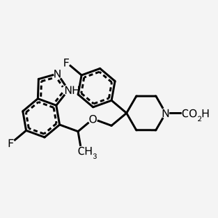 CC(OCC1(c2ccc(F)cc2)CCN(C(=O)O)CC1)c1cc(F)cc2cn[nH]c12